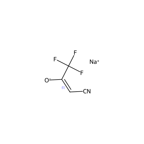 N#C/C=C(/[O-])C(F)(F)F.[Na+]